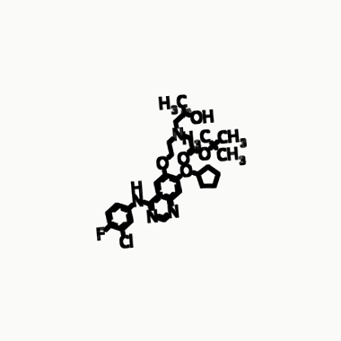 C[C@@H](O)CN(CCOc1cc2c(Nc3ccc(F)c(Cl)c3)ncnc2cc1OC1CCCC1)CC(=O)OC(C)(C)C